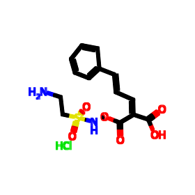 Cl.NCCS(=O)(=O)NOC(=O)C(=CC=Cc1ccccc1)C(=O)O